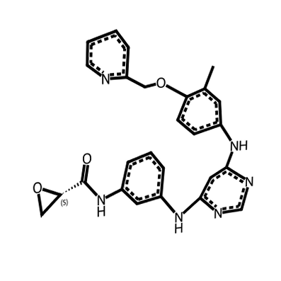 Cc1cc(Nc2cc(Nc3cccc(NC(=O)[C@@H]4CO4)c3)ncn2)ccc1OCc1ccccn1